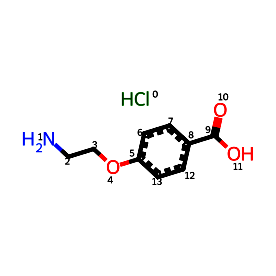 Cl.NCCOc1ccc(C(=O)O)cc1